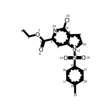 CCOC(=O)c1cc2c(ccn2S(=O)(=O)c2ccc(C)cc2)c(Cl)n1